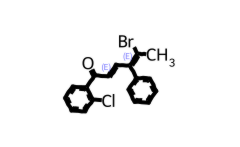 C/C(Br)=C(/C=C/C(=O)c1ccccc1Cl)c1ccccc1